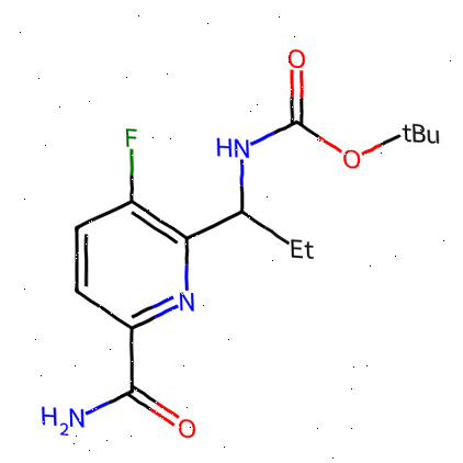 CCC(NC(=O)OC(C)(C)C)c1nc(C(N)=O)ccc1F